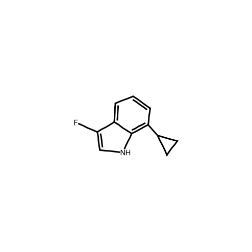 Fc1c[nH]c2c(C3CC3)cccc12